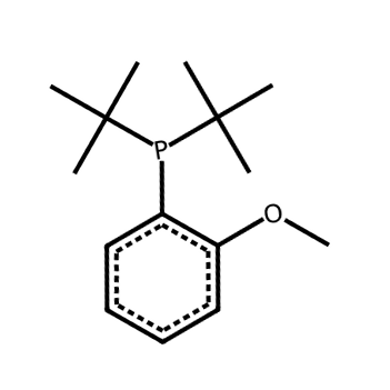 COc1ccccc1P(C(C)(C)C)C(C)(C)C